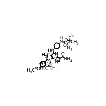 CCOc1ccc(C(=O)N(OC(C)(C)C)c2c(C)c(N[C@H]3CC[C@H](NC(=O)OC(C)(C)C)CC3)nc3c(C(N)=O)cnn23)cc1